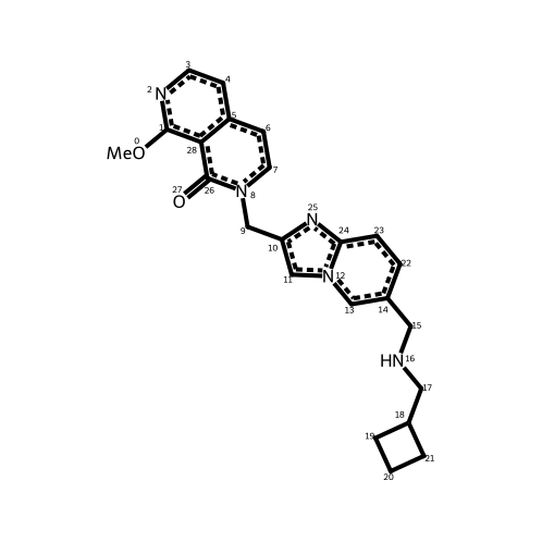 COc1nccc2ccn(Cc3cn4cc(CNCC5CCC5)ccc4n3)c(=O)c12